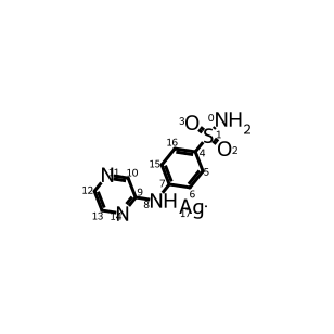 NS(=O)(=O)c1ccc(Nc2cnccn2)cc1.[Ag]